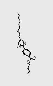 CCCCCCCCCc1cnc(-c2ccc(C(=O)OCCCC)cc2)nc1